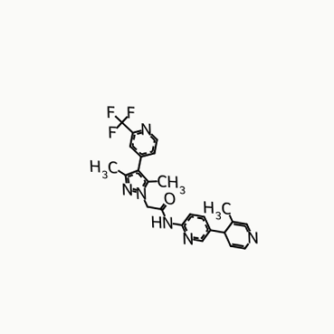 CC1=C=NC=CC1c1ccc(NC(=O)Cn2nc(C)c(-c3ccnc(C(F)(F)F)c3)c2C)nc1